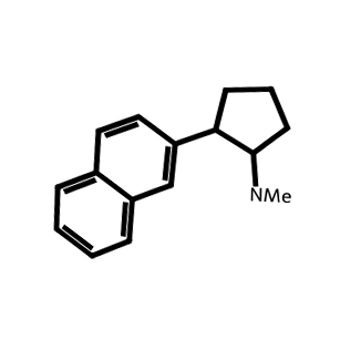 CNC1CCCC1c1ccc2ccccc2c1